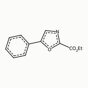 CCOC(=O)c1ncc(-c2ccccc2)o1